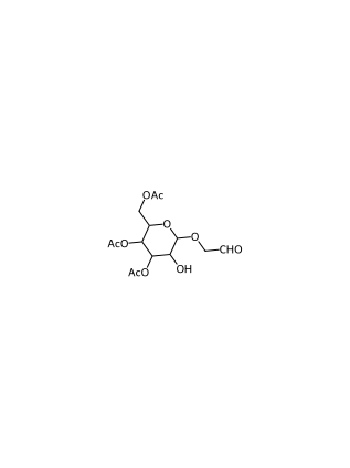 CC(=O)OCC1OC(OCC=O)C(O)C(OC(C)=O)C1OC(C)=O